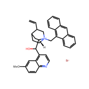 C=CC1C[N+]2(Cc3c4ccccc4cc4ccccc34)CCC1C[C@H]2C(O)c1ccnc2ccc(OC)cc12.[Br-]